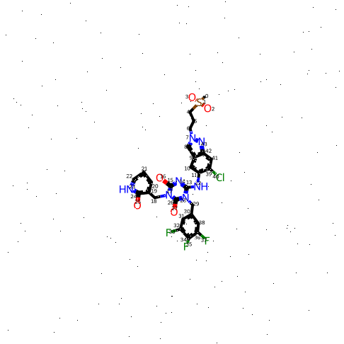 CS(=O)(=O)CCCn1cc2cc(Nc3nc(=O)n(Cc4ccc[nH]c4=O)c(=O)n3Cc3cc(F)c(F)c(F)c3)c(Cl)cc2n1